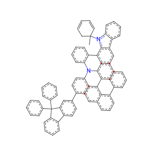 CC1(n2c3ccccc3c3cccc(-c4ccccc4N(c4ccc(-c5ccc6c(c5)C(c5ccccc5)(c5ccccc5)c5ccccc5-6)cc4)c4ccccc4-c4cccc5cccc(-c6ccccc6)c45)c32)C=CC=CC1